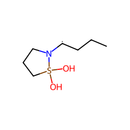 CCC[CH]N1CCCS1(O)O